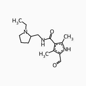 CCN1CCCC1CNC(=O)c1c(C)[nH]c(C=O)c1C